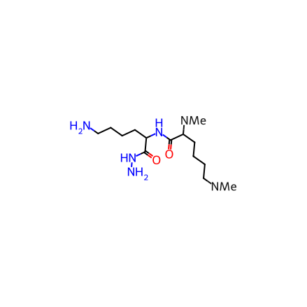 CNCCCCC(NC)C(=O)NC(CCCCN)C(=O)NN